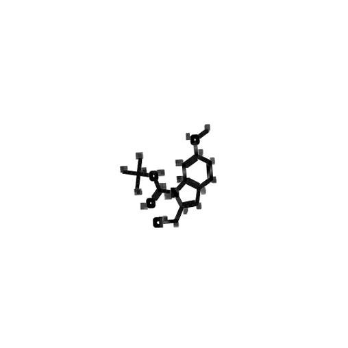 COc1ccc2cc(CCl)n(C(=O)OC(C)(C)C)c2c1